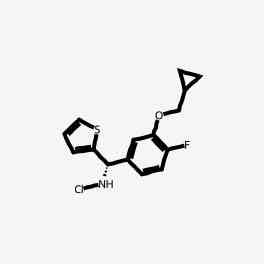 Fc1ccc([C@H](NCl)c2cccs2)cc1OCC1CC1